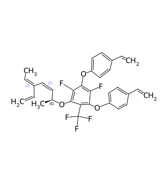 C=CC(/C=C\[C@H](C)Oc1c(F)c(Oc2ccc(C=C)cc2)c(F)c(Oc2ccc(C=C)cc2)c1C(F)(F)F)=C/C